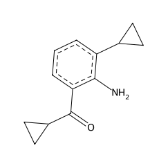 Nc1c(C(=O)C2CC2)cccc1C1CC1